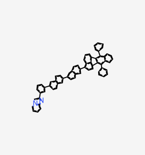 c1ccc(-c2c3c(c(-c4ccccc4)c4ccccc24)-c2ccc(-c4ccc5cc(-c6ccc7cc(-c8cccc(-c9cn%10ccccc%10n9)c8)ccc7c6)ccc5c4)c4cccc-3c24)cc1